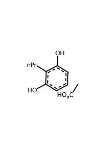 CC(=O)O.CCCc1c(O)cccc1O